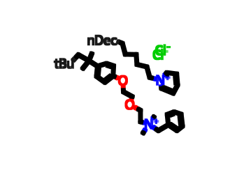 CC(C)(C)CC(C)(C)c1ccc(OCCOCC[N+](C)(C)Cc2ccccc2)cc1.CCCCCCCCCCCCCCCC[n+]1ccccc1.[Cl-].[Cl-]